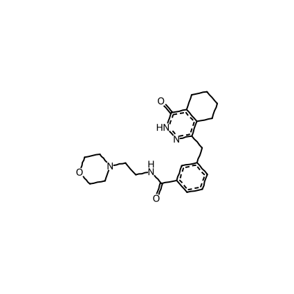 O=C(NCCN1CCOCC1)c1cccc(Cc2n[nH]c(=O)c3c2CCCC3)c1